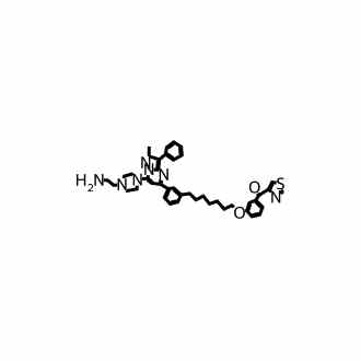 Cc1nn2c(N3CCN(CCN)CC3)cc(-c3cccc(CCCCCCCOc4cccc(C(=O)c5cscn5)c4)c3)nc2c1-c1ccccc1